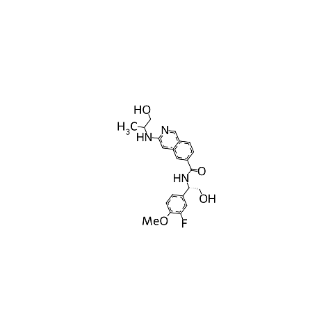 COc1ccc([C@@H](CO)NC(=O)c2ccc3cnc(NC(C)CO)cc3c2)cc1F